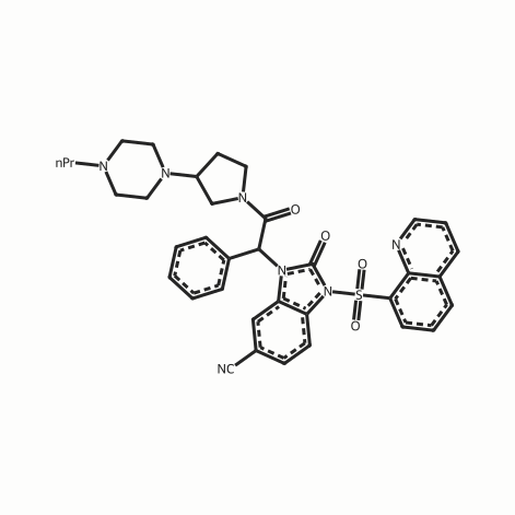 CCCN1CCN(C2CCN(C(=O)C(c3ccccc3)n3c(=O)n(S(=O)(=O)c4cccc5cccnc45)c4ccc(C#N)cc43)C2)CC1